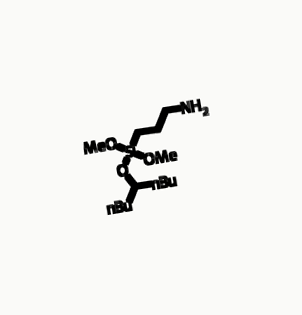 CCCCC(CCCC)O[Si](CCCN)(OC)OC